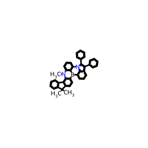 CN1c2cccc3c2B(c2ccc4c(c21)-c1ccccc1C4(C)C)c1cccc2c(-c4ccccc4)c(-c4ccccc4)n-3c12